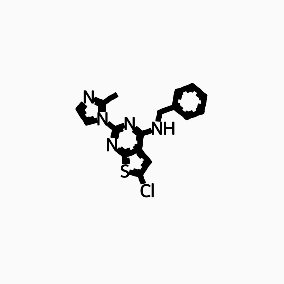 Cc1nccn1-c1nc(NCc2ccccc2)c2cc(Cl)sc2n1